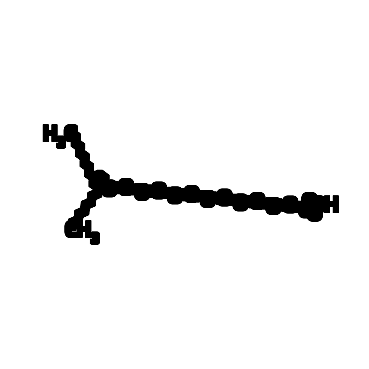 CCCCCCCCCc1ccc(OCCOCCOCCOCCOCCOCCOCCOCCOCCOCCOCCOCCOS(=O)(=O)O)c(CCCCCCCCC)c1